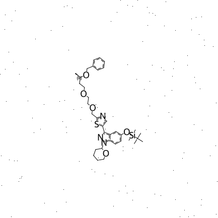 C[C@H](CCOCCOCc1ncc(-c2nn(C3CCCCO3)c3ccc(O[Si](C)(C)C(C)(C)C)cc23)s1)OCc1ccccc1